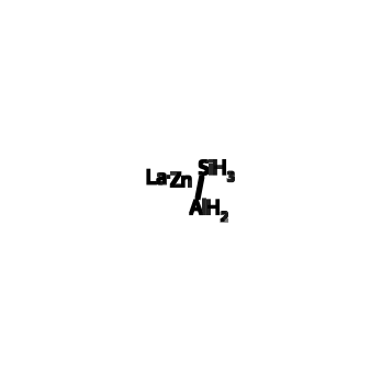 [AlH2][SiH3].[La].[Zn]